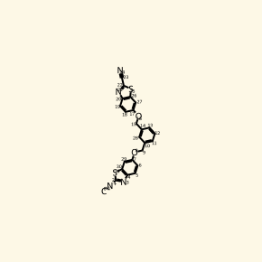 [C-]#[N+]c1nc2ccc(OCc3cccc(COc4ccc5nc(C#N)sc5c4)c3)cc2s1